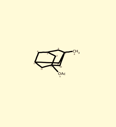 CC(=O)OC12CC3CC(CC(C)(C3)C1)C2